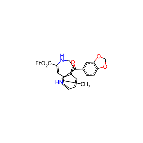 CCOC(=O)C1=CC23C(=CCN1)C=CC=C2NC(C)C3C(=O)c1ccc2c(c1)OCO2